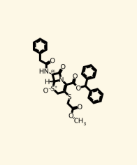 COC(=O)CSC1=C(C(=O)OC(c2ccccc2)c2ccccc2)N2C(=O)[C@@H](NC(=O)Cc3ccccc3)[C@H]2[S+]([O-])C1